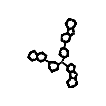 c1cc(-c2ccc3ccccc3c2)cc(N(c2ccc(-c3ccc4c(c3)sc3ccccc34)cc2)c2ccc3sc4ccccc4c3c2)c1